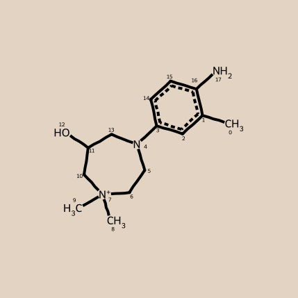 Cc1cc(N2CC[N+](C)(C)CC(O)C2)ccc1N